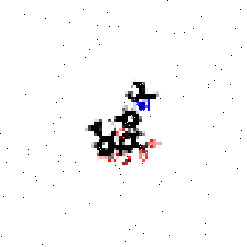 CCc1c(C)nn(-c2ccc(OCc3c(C4CC4)cccc3C3(C(=O)O)C=CC(C)=C(C(=O)O)C3)c(C)c2)c1C